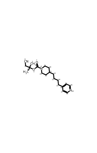 CC(C)(CC#N)OC(=O)N1CCC(CCCCc2ccncc2)CC1